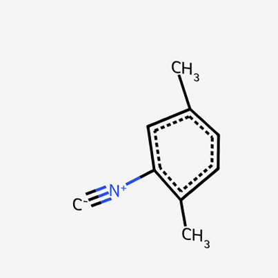 [C-]#[N+]c1cc(C)ccc1C